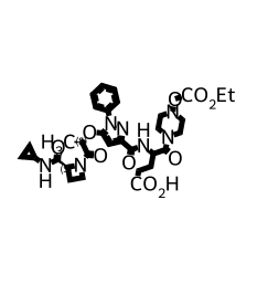 CCOC(=O)ON1CCN(C(=O)C(CCC(=O)O)NC(=O)c2cc(O[C@@H](C)C(=O)N3CC[C@H]3C(=O)NC3CC3)n(-c3ccccc3)n2)CC1